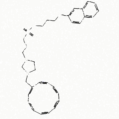 O=S(=O)(CCCN1CCN(CC2=C/C=C\C=C/C=C\C=C/C=C\2)C1)OCCCOc1ccc2ccccc2c1